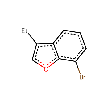 CCc1coc2c(Br)cccc12